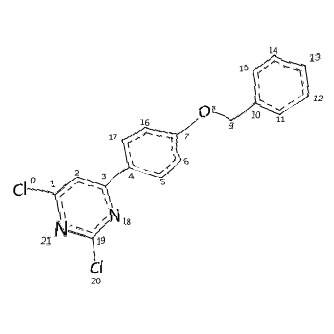 Clc1cc(-c2ccc(OCc3ccccc3)cc2)nc(Cl)n1